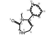 CN1C(=O)CNCC=C1c1cccnc1